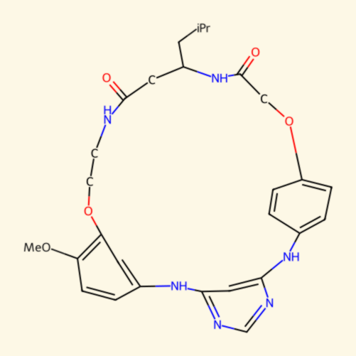 COc1ccc2cc1OCCNC(=O)CC(CC(C)C)NC(=O)COc1ccc(cc1)Nc1cc(ncn1)N2